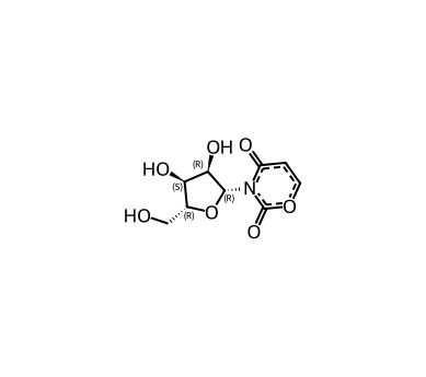 O=c1ccoc(=O)n1[C@@H]1O[C@H](CO)[C@@H](O)[C@H]1O